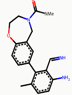 CNC(=O)N1CCOc2ccc(-c3c(C)ccc(N)c3C=N)cc2C1